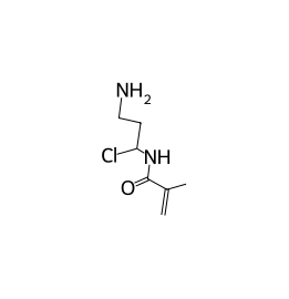 C=C(C)C(=O)NC(Cl)CCN